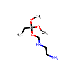 CC[Si](OC)(OC)OCNCCN